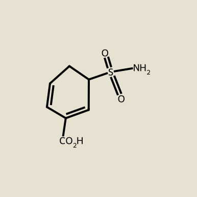 NS(=O)(=O)C1C=C(C(=O)O)C=CC1